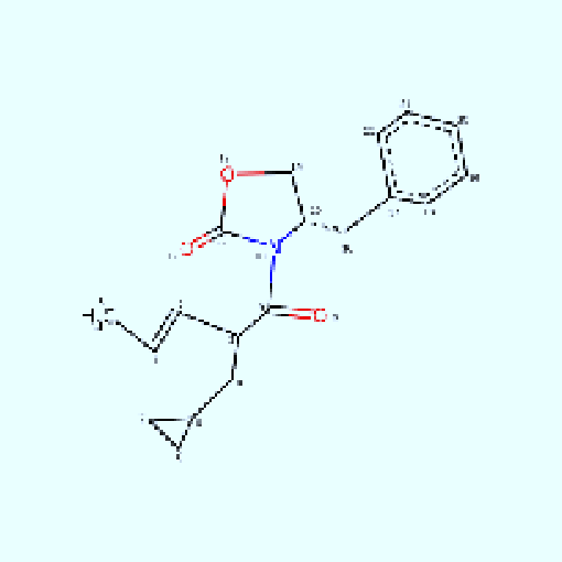 C/C=C/C(CC1CC1)C(=O)N1C(=O)OC[C@@H]1Cc1ccccc1